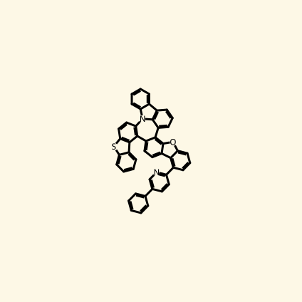 c1ccc(-c2ccc(-c3cccc4oc5c6c(ccc5c34)-c3c(ccc4sc5ccccc5c34)-n3c4ccccc4c4cccc-6c43)nc2)cc1